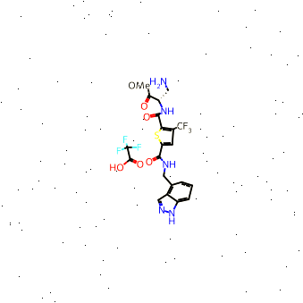 COC(=O)[C@H](CN)NC(=O)c1sc(C(=O)NCc2cccc3[nH]ncc23)cc1C(F)(F)F.O=C(O)C(F)(F)F